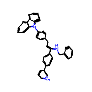 C1=CC(c2ccc(/C(=C/Cc3ccc(-n4c5ccccc5c5ccccc54)cc3)NCc3ccccc3)cc2)=CNC1